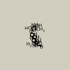 C[C@@H]1O[C@@H](O[C@H]2CC[C@@]3(C)[C@H](CC[C@@H]4[C@@H]3CC[C@]3(C)[C@@H]5CC[C@]43O[C@H]3OC(=O)C[C@H]35)C2)[C@H](O)[C@H](N)[C@H]1O